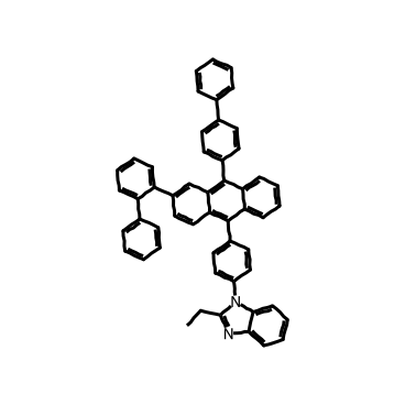 CCc1nc2ccccc2n1-c1ccc(-c2c3ccccc3c(-c3ccc(-c4ccccc4)cc3)c3cc(-c4ccccc4-c4ccccc4)ccc23)cc1